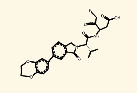 CC(C)[C@@H](C(=O)NC(CC(=O)O)C(=O)CF)N1Cc2ccc(-c3ccc4c(c3)OCCO4)cc2C1=O